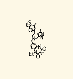 CCN1C(=O)C(C)(C)C(=O)N(C)c2cc(CN(CCN3C=C(C)c4sccc4O3)Cc3cc(C)nn3C)ccc21